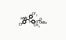 Cc1cc(SC(c2ccc(C(F)(F)F)cc2)c2n[nH]c3cc(Cl)ccc23)ccc1OCC(=O)OC(C)(C)C